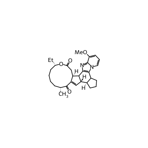 CC[C@H]1CCCC[C@@H](C)C(=O)C2=C[C@@H]3C(c4nc5c(OC)cccn5c4C4CCC[C@H]43)[C@@H]2CC(=O)O1